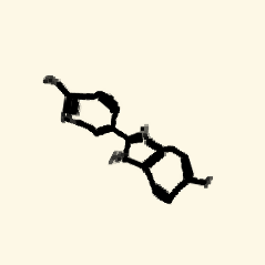 Fc1ccc2[nH]c(-c3ccc(Br)nc3)nc2c1